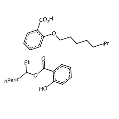 CC(C)CCCCCOc1ccccc1C(=O)O.CCCCCC(CC)OC(=O)c1ccccc1O